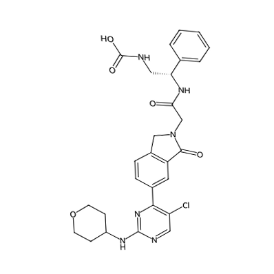 O=C(O)NC[C@@H](NC(=O)CN1Cc2ccc(-c3nc(NC4CCOCC4)ncc3Cl)cc2C1=O)c1ccccc1